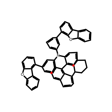 c1cc(-c2cccc3c2oc2ccccc23)cc(N(c2cccc(-c3cccc4oc5ccccc5c34)c2)c2ccccc2-c2cccc3cccc(C4CCCCC4)c23)c1